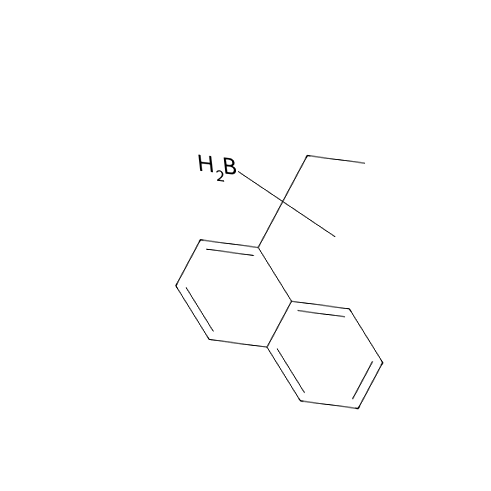 BC(C)(CC)c1cccc2ccccc12